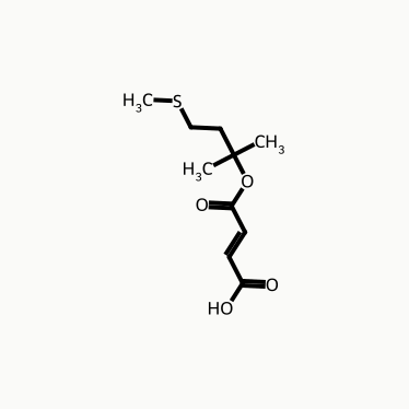 CSCCC(C)(C)OC(=O)C=CC(=O)O